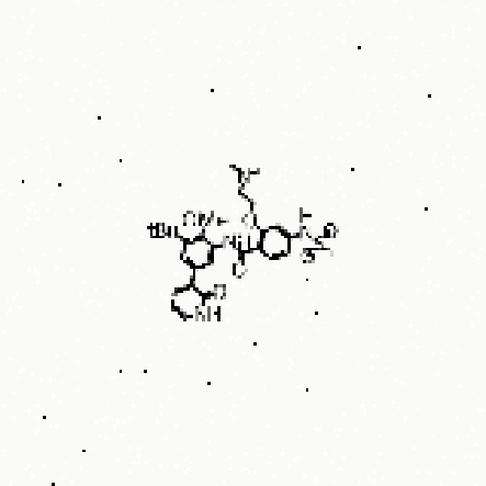 COc1c(NC(=O)c2ccc(NS(C)(=O)=O)cc2OCCN(C)C)cc(-c2ccc[nH]c2=O)cc1C(C)(C)C